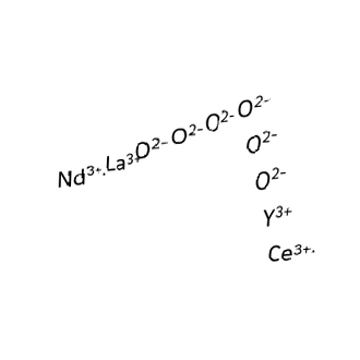 [Ce+3].[La+3].[Nd+3].[O-2].[O-2].[O-2].[O-2].[O-2].[O-2].[Y+3]